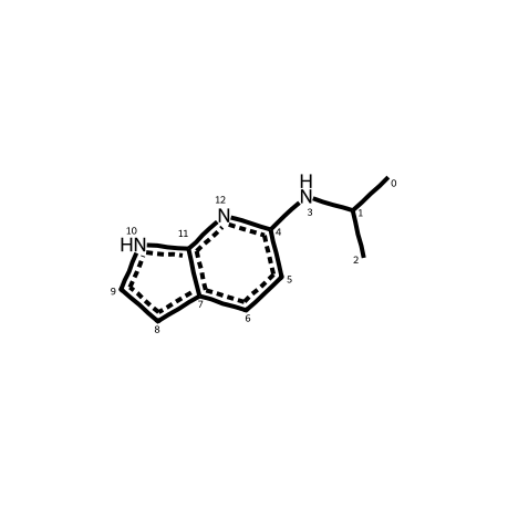 CC(C)Nc1ccc2cc[nH]c2n1